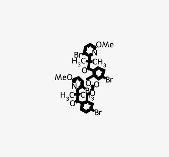 COc1ccc(Br)c(C(C)(C)C(=O)c2ccc(Br)cc2COC(=O)OCc2cc(Br)ccc2C(=O)C(C)(C)c2nc(OC)ccc2Br)n1